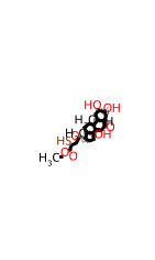 CCOC(=O)C(S)CC(=O)[C@H]1CC[C@@]2(O)C3=CC(=O)[C@@H]4C[C@@H](O)[C@@H](O)C[C@]4(C)C3CC[C@]12C